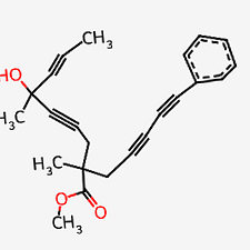 CC#CC(C)(O)C#CCC(C)(CC#CC#Cc1ccccc1)C(=O)OC